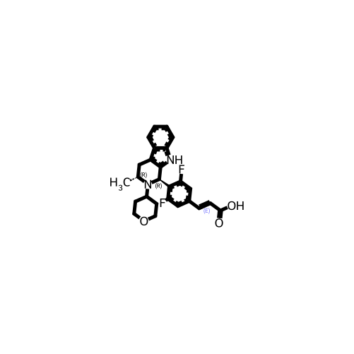 C[C@@H]1Cc2c([nH]c3ccccc23)[C@@H](c2c(F)cc(/C=C/C(=O)O)cc2F)N1C1CCOCC1